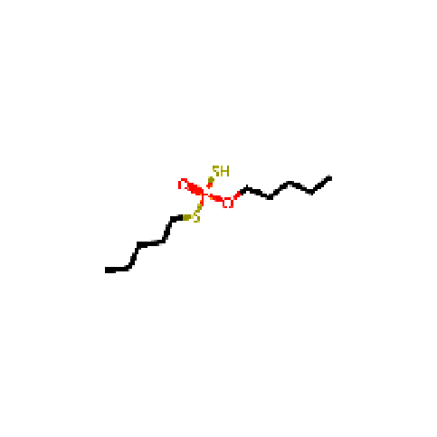 CCCCCOP(=O)(S)SCCCCC